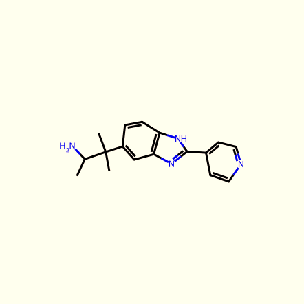 CC(N)C(C)(C)c1ccc2[nH]c(-c3ccncc3)nc2c1